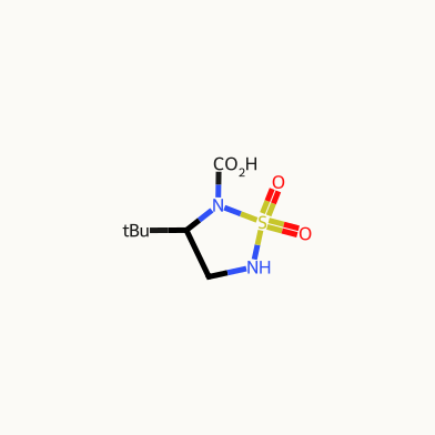 CC(C)(C)C1CNS(=O)(=O)N1C(=O)O